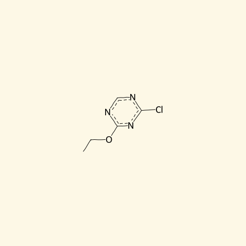 CCOc1ncnc(Cl)n1